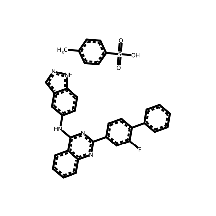 Cc1ccc(S(=O)(=O)O)cc1.Fc1cc(-c2nc(Nc3ccc4[nH]ncc4c3)c3ccccc3n2)ccc1-c1ccccc1